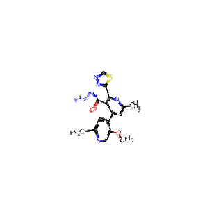 COc1cnc(C)cc1-c1cc(C)nc(-c2nncs2)c1C(N)=O